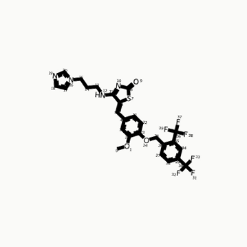 COc1cc(/C=C2\SC(=O)N=C2NCCCn2ccnc2)ccc1OCc1ccc(C(F)(F)F)cc1C(F)(F)F